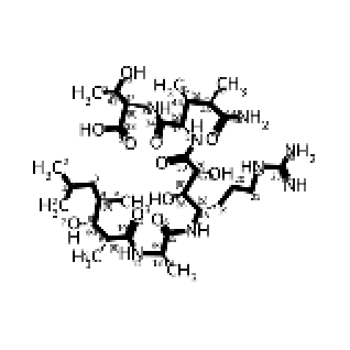 CC(C)C[C@@H](C)[C@@H](O)[C@@H](C)C(=O)N[C@H](C)C(=O)N[C@@H](CCCNC(=N)N)[C@@H](O)[C@@H](O)C(=O)N[C@H](C(=O)N[C@@H](C(=O)O)[C@@H](C)O)[C@@H](C)[C@@H](C)C(N)=O